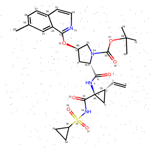 C=C[C@@H]1C[C@]1(NC(=O)[C@@H]1C[C@@H](Oc2nccc3ccc(C)cc23)CN1C(=O)OC(C)(C)C)C(=O)NS(=O)(=O)C1CC1